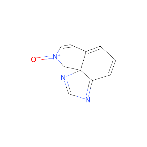 O=[N+]1C=CC2=CC=CC3=NC=NC23C1